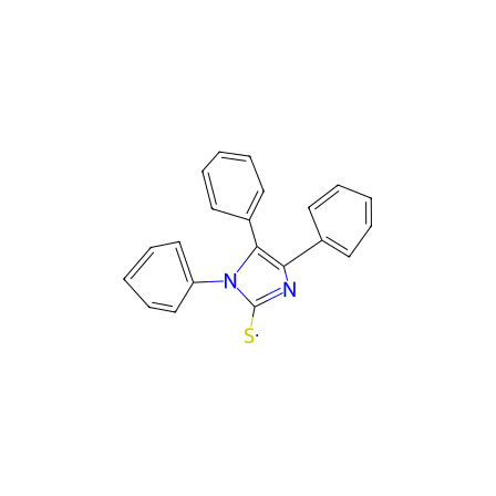 [S]c1nc(-c2ccccc2)c(-c2ccccc2)n1-c1ccccc1